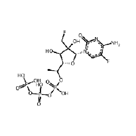 C[C@H](OP(=O)(O)OP(=O)(O)OP(=O)(O)O)[C@H]1O[C@@H](n2cc(F)c(N)nc2=O)[C@@](O)(CF)C1O